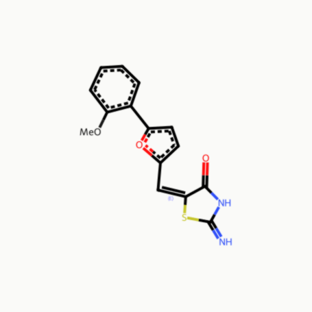 COc1ccccc1-c1ccc(/C=C2/SC(=N)NC2=O)o1